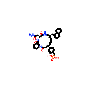 NC(=O)C[C@@H]1NC(=O)C2(CCCCC2)NC(=O)C[C@H](c2ccc(CP(=O)(O)O)cc2)C=CC[C@@H](Cc2cccc3ccccc23)CNC1=O